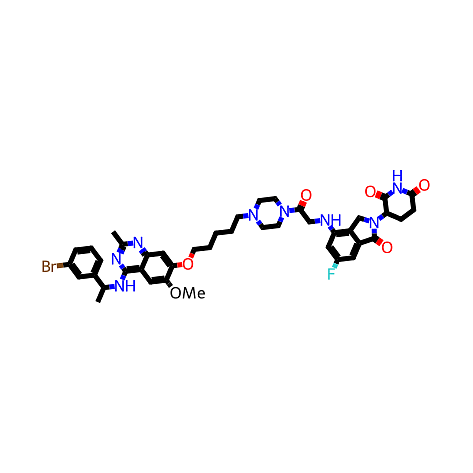 COc1cc2c(NC(C)c3cccc(Br)c3)nc(C)nc2cc1OCCCCCN1CCN(C(=O)CNc2cc(F)cc3c2CN(C2CCC(=O)NC2=O)C3=O)CC1